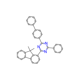 CC1(C)c2ccccc2-c2cccc(-c3nc(-c4ccccc4)nc(-c4ccc(-c5ccccc5)cc4)n3)c21